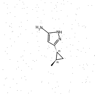 C[C@@H]1C[C@H]1c1cc(N)[nH]n1